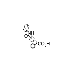 O=C(O)C1CC2(CCN(C(=O)NC3C4CC5CC(C4)CC3C5)CC2)c2ccccc21